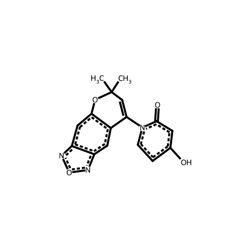 CC1(C)C=C(n2ccc(O)cc2=O)c2cc3nonc3cc2O1